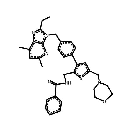 CCc1nc2c(C)cc(C)nc2n1Cc1ccc(-c2cc(CN3CCOCC3)sc2CNC(=O)c2ccccc2)cc1